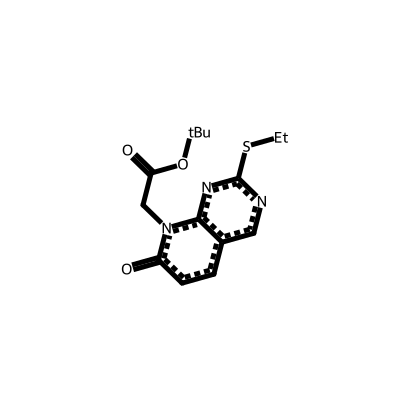 CCSc1ncc2ccc(=O)n(CC(=O)OC(C)(C)C)c2n1